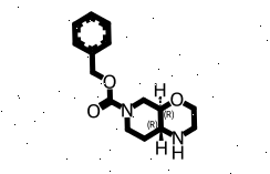 O=C(OCc1ccccc1)N1CC[C@H]2NCCO[C@@H]2C1